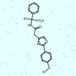 CCOc1ccc(-c2nc(CC(=O)NC(CC)(C(=O)O)c3ccccc3)cs2)cc1